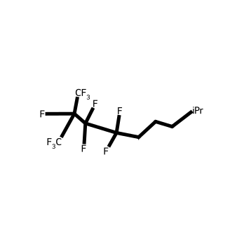 CC(C)CC[CH]C(F)(F)C(F)(F)C(F)(C(F)(F)F)C(F)(F)F